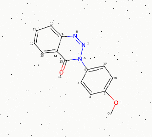 COc1ccc(-n2nnc3ccccc3c2=O)cc1